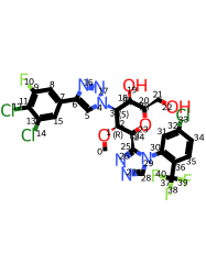 CO[C@@H]1[C@@H](n2cc(-c3cc(F)c(Cl)c(Cl)c3)nn2)[C@@H](O)[C@@H](CO)O[C@H]1c1nncn1-c1cc(Cl)ccc1C(F)(F)F